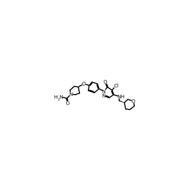 NC(=O)N1CCC(Oc2ccc(-n3ncc(NC[C@@H]4CCCOC4)c(Cl)c3=O)cc2)CC1